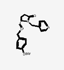 COc1ccc(COC[C@@H]2CCC(=O)N2Cc2ccncc2)cc1